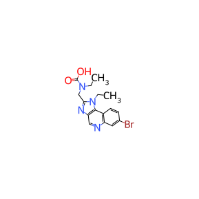 CCN(Cc1nc2cnc3cc(Br)ccc3c2n1CC)C(=O)O